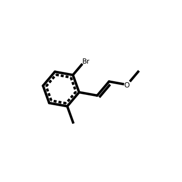 COC=Cc1c(C)cccc1Br